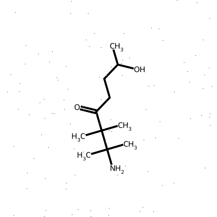 CC(O)CCC(=O)C(C)(C)C(C)(C)N